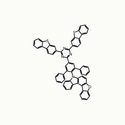 c1ccc(-c2cc(-c3nc(-c4ccc5c(c4)sc4ccccc45)nc(-c4ccc5c(c4)sc4ccccc45)n3)cc(-c3ccccc3)c2-n2c3ccccc3c3c4c(ccc32)oc2ccccc24)cc1